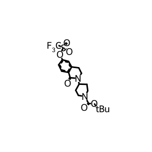 CC(C)(C)OC(=O)N1CCC(N2CCc3cc(OS(=O)(=O)C(F)(F)F)ccc3C2=O)CC1